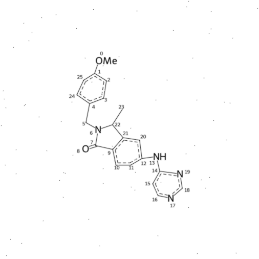 COc1ccc(CN2C(=O)c3ccc(Nc4ccncn4)cc3C2C)cc1